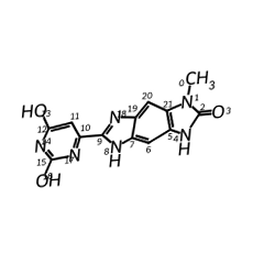 Cn1c(=O)[nH]c2cc3[nH]c(-c4cc(O)nc(O)n4)nc3cc21